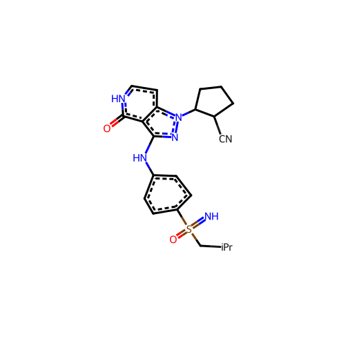 CC(C)CS(=N)(=O)c1ccc(Nc2nn(C3CCCC3C#N)c3cc[nH]c(=O)c23)cc1